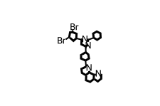 Brc1cc(Br)cc(-c2cc(-c3ccc(-c4ccc5ccc6cccnc6c5n4)cc3)nc(-c3ccccc3)n2)c1